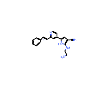 N#Cc1cc(-c2ccnc(/C=C/c3ccccc3)c2)[nH]c1NCCN